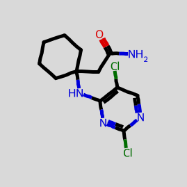 NC(=O)CC1(Nc2nc(Cl)ncc2Cl)CCCCC1